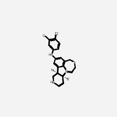 Clc1ccc(Nc2cc3c4c(c2)[C@@H]2CNCC[C@@H]2N4CCSC3)cc1Cl